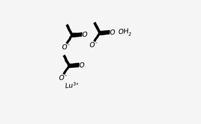 CC(=O)[O-].CC(=O)[O-].CC(=O)[O-].O.[Lu+3]